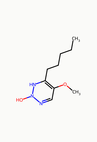 CCCCCC1=C(OC)C=NN(O)N1